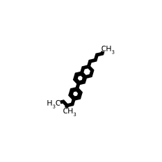 CCCCCC1CCc2cc(-c3ccc(CC(C)CC)cc3)ccc2C1